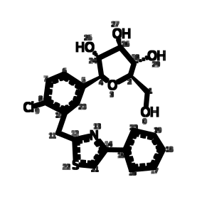 OC[C@H]1O[C@@H](c2ccc(Cl)c(Cc3nc(-c4ccccc4)cs3)c2)[C@H](O)[C@@H](O)[C@@H]1O